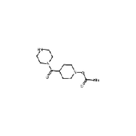 CC(C)(C)C(=O)ON1CCC(C(=O)N2CCNCC2)CC1